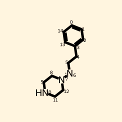 c1ccc(CC[N]N2CCNCC2)cc1